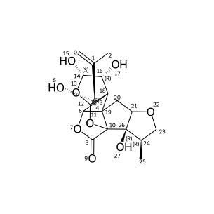 C=C(C)[C@@H]1[C@@H](O)C2OC(=O)C34OC5O[C@H](O)[C@H](O)C51C23CC1OC[C@@H](C)[C@@]14O